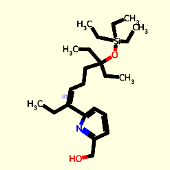 CC/C(=C/CCC(CC)(CC)O[Si](CC)(CC)CC)c1cccc(CO)n1